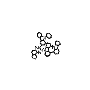 c1ccc(-n2c3ccccc3c3cc(-c4nc5ccc6ccccc6c5nc4-n4c5cccc6c7cccc8c9ccccc9n(c9cccc4c9c65)c78)ccc32)cc1